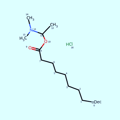 CCCCCCCCCCCCCCCCCC(=O)OC(C)N(C)C.Cl